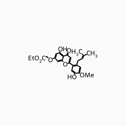 CCOC(=O)COc1cc(O)c2c(=O)cc(-c3cc(O)c(OC)cc3CC=C(C)C)oc2c1